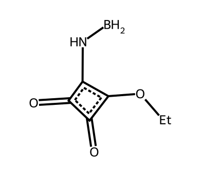 BNc1c(OCC)c(=O)c1=O